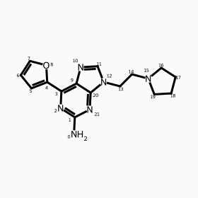 Nc1nc(-c2ccco2)c2ncn(CCN3CCCC3)c2n1